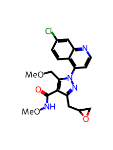 COCc1c(C(=O)NOC)c(CC2CO2)nn1-c1ccnc2cc(Cl)ccc12